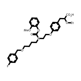 CCOC(Cc1ccc(OCCN(CCCCOCc2ccc(F)cc2)C(=O)Oc2ccccc2OC)cc1)C(=O)O